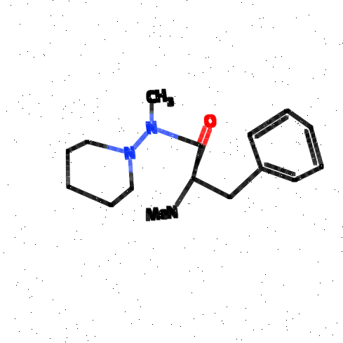 CNC(Cc1ccccc1)C(=O)N(C)N1CCCCC1